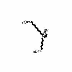 CCCCCCCCCCCCCCCCCCC1N(CCCCCCCCCCCCCCCC)C=CN1C(C)C